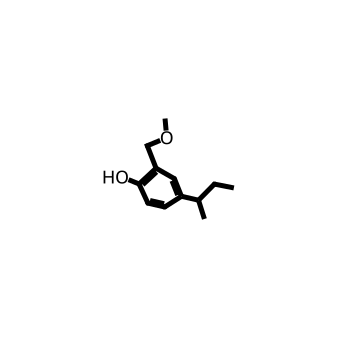 CCC(C)c1ccc(O)c(COC)c1